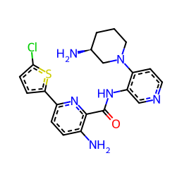 Nc1ccc(-c2ccc(Cl)s2)nc1C(=O)Nc1cnccc1N1CCC[C@H](N)C1